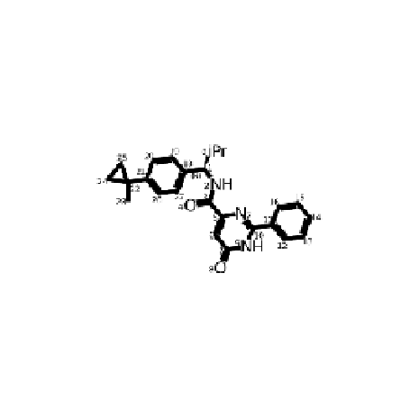 CC(C)[C@@H](NC(=O)c1cc(=O)[nH]c(-c2ccccc2)n1)c1ccc(C2(C)CC2)cc1